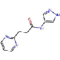 O=C(CCc1ncccn1)Nc1cn[nH]c1